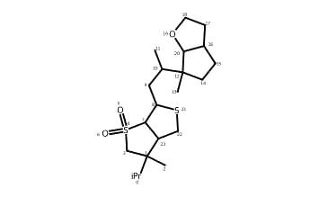 CC(C)C1(C)CS(=O)(=O)C2C(CC(C)C3(C)CCC4CCOC43)SCC21